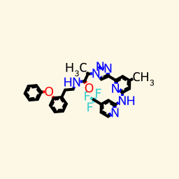 Cc1cc(Nc2cc(C(F)(F)F)ccn2)nc(-c2cn(C(C)C(=O)NCCc3ccccc3Oc3ccccc3)nn2)c1